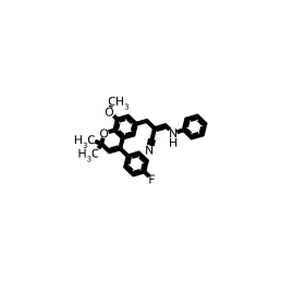 COc1cc(C/C(C#N)=C/Nc2ccccc2)cc2c1OC(C)(C)C=C2c1ccc(F)cc1